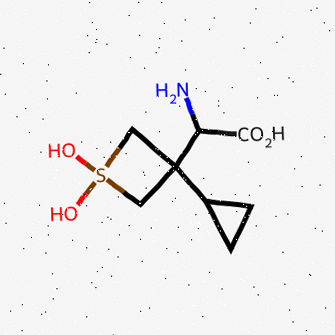 NC(C(=O)O)C1(C2CC2)CS(O)(O)C1